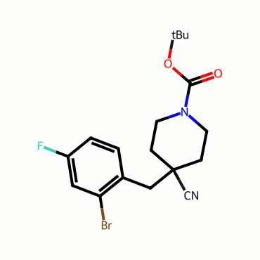 CC(C)(C)OC(=O)N1CCC(C#N)(Cc2ccc(F)cc2Br)CC1